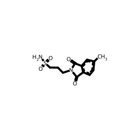 Cc1ccc2c(c1)C(=O)N(CCCS(N)(=O)=O)C2=O